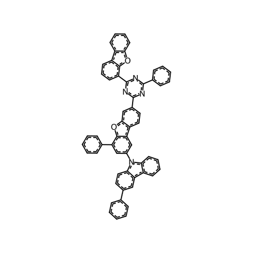 c1ccc(-c2ccc3c(c2)c2ccccc2n3-c2cc(-c3ccccc3)c3oc4cc(-c5nc(-c6ccccc6)nc(-c6cccc7c6oc6ccccc67)n5)ccc4c3c2)cc1